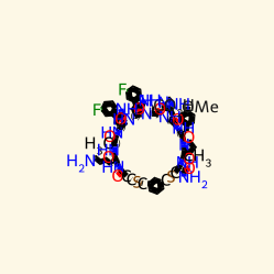 COc1ccc(C[C@@H]2NC(=O)[C@H](Cc3cnc[nH]3)NC(=O)[C@H](CC(=O)O)NC(=O)[C@H](Cc3c[nH]c4ccc(F)cc34)NC(=O)[C@H](Cc3c[nH]c4ccc(F)cc34)NC(=O)[C@@H](C)NC(=O)[C@H](CCCCN)NC(=O)CCSCc3cccc(c3)CSC[C@@H](C(N)=O)NC(=O)C3(C)CCCN3C2=O)cc1